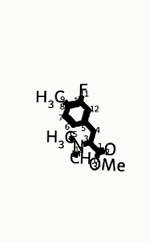 COC(=O)C(Cc1ccc(C)c(F)c1)N(C)C